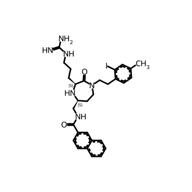 Cc1ccc(CCN2CC[C@@H](CNC(=O)c3ccc4ccccc4c3)N[C@@H](CCCNC(=N)N)C2=O)c(I)c1